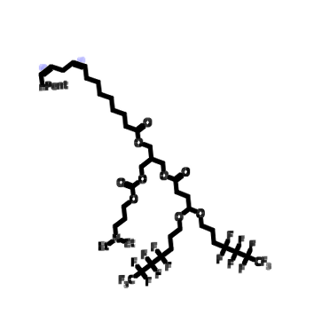 CCCCC/C=C\C/C=C\CCCCCCCC(=O)OCC(COC(=O)CCC(OCCCC(F)(F)C(F)(F)C(F)(F)C(F)(F)F)OCCCC(F)(F)C(F)(F)C(F)(F)C(F)(F)F)COC(=O)OCCCN(CC)CC